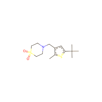 Cc1sc(C(C)(C)C)cc1CN1CCS(=O)(=O)CC1